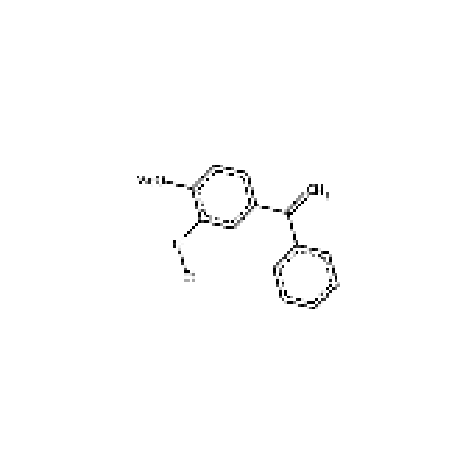 C=C(c1ccccc1)c1ccc(OC)c(OCC)c1